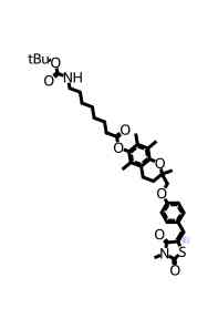 Cc1c(C)c2c(c(C)c1OC(=O)CCCCCCCNC(=O)OC(C)(C)C)CCC(C)(COc1ccc(/C=C3/SC(=O)N(C)C3=O)cc1)O2